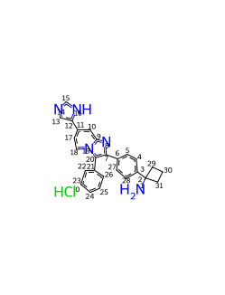 Cl.NC1(c2ccc(-c3nc4cc(-c5cnc[nH]5)ccn4c3-c3ccccc3)cc2)CCC1